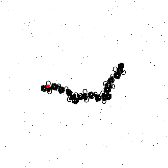 O=C1c2ccccc2C(=O)N1c1ccc(Oc2cccc(Oc3ccc(N4C(=O)c5cccc(-c6ccc7c(c6)C(=O)N(c6ccc(Oc8cccc(N9C(=O)c%10cccc(-c%11ccc%12c(c%11)C(=O)N(c%11ccc(Oc%13cccc(N%14C(=O)c%15ccccc%15C%14=O)c%13)cc%11)C%12=O)c%10C9=O)c8)cc6)C7=O)c5C4=O)cc3)c2)cc1